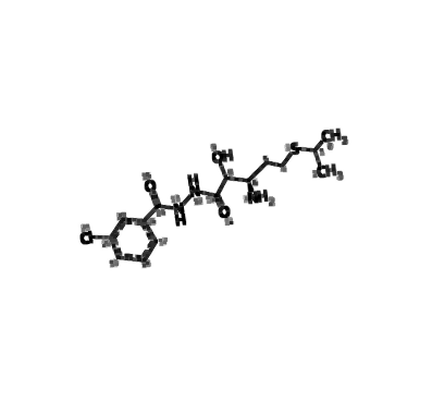 CC(C)SCC[C@@H](N)C(O)C(=O)NNC(=O)c1cccc(Cl)c1